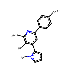 COc1nc(-c2ccc(NC(C)=O)cc2)cc(-c2cccn2C)c1C#N